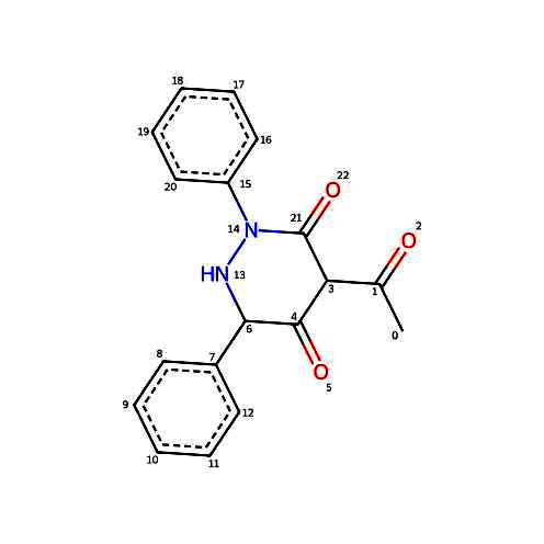 CC(=O)C1C(=O)C(c2ccccc2)NN(c2ccccc2)C1=O